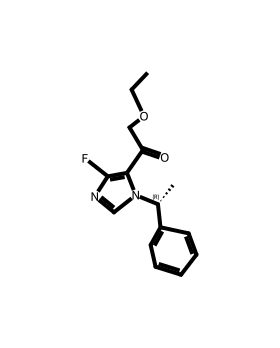 CCOCC(=O)c1c(F)ncn1[C@H](C)c1ccccc1